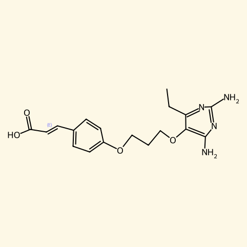 CCc1nc(N)nc(N)c1OCCCOc1ccc(/C=C/C(=O)O)cc1